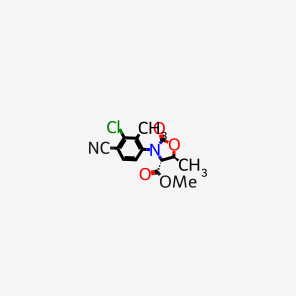 COC(=O)[C@H]1[C@H](C)OC(=O)N1c1ccc(C#N)c(Cl)c1C